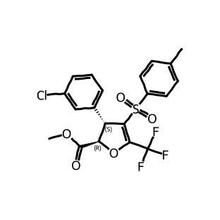 COC(=O)[C@@H]1OC(C(F)(F)F)=C(S(=O)(=O)c2ccc(C)cc2)[C@H]1c1cccc(Cl)c1